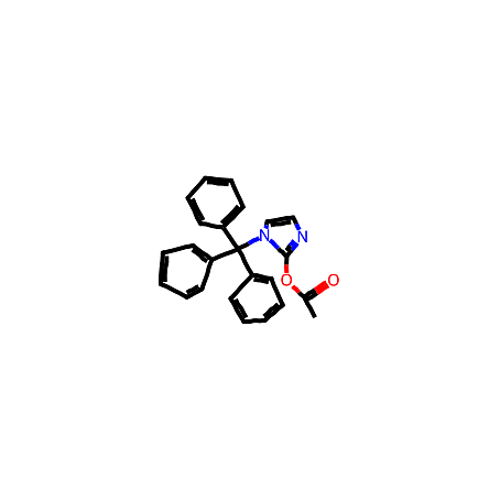 CC(=O)Oc1nccn1C(c1ccccc1)(c1ccccc1)c1ccccc1